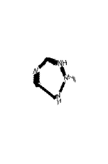 C1=NCNNN1